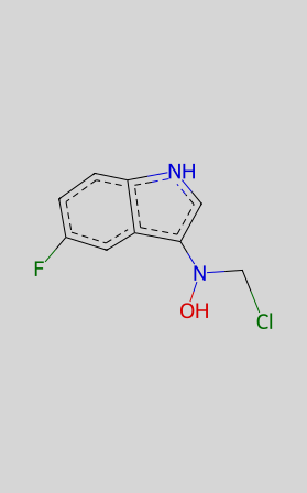 ON(CCl)c1c[nH]c2ccc(F)cc12